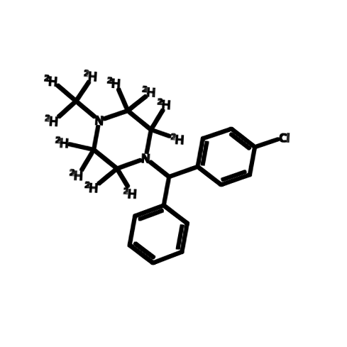 [2H]C([2H])([2H])N1C([2H])([2H])C([2H])([2H])N(C(c2ccccc2)c2ccc(Cl)cc2)C([2H])([2H])C1([2H])[2H]